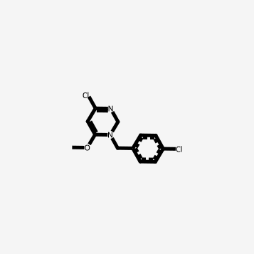 COC1=CC(Cl)=NCN1Cc1ccc(Cl)cc1